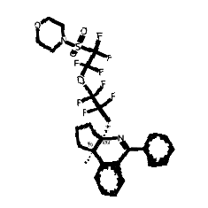 C[C@]12CCC[C@@]1(CC(F)(F)C(F)(F)OC(F)(F)C(F)(F)S(=O)(=O)N1CCOCC1)N=C(c1ccccc1)c1ccccc12